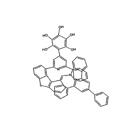 Oc1c(O)c(O)c(-c2cc(-c3ccccc3)nc(-c3cccc4sc5c(c34)C(=Cn3c4ccccc4c4cc(-c6ccccc6)cc(-c6ccccc6)c43)CC=C5)c2)c(O)c1O